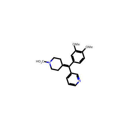 COc1ccc(C(=C2CCN(C(=O)O)CC2)c2cccnc2)cc1OC